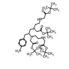 CC(C)(C)OC(=O)CNCCN(CC(=O)OC(C)(C)C)CC(Cc1ccc(N)cc1)N(CCNCC(=O)OC(C)(C)C)CC(=O)OC(C)(C)C